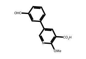 COc1ncc(-c2cccc(C=O)c2)cc1C(=O)O